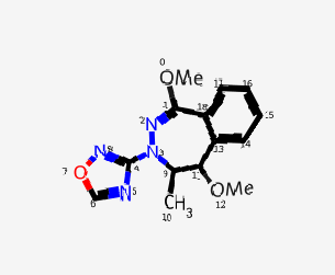 COC1=NN(c2ncon2)C(C)C(OC)c2ccccc21